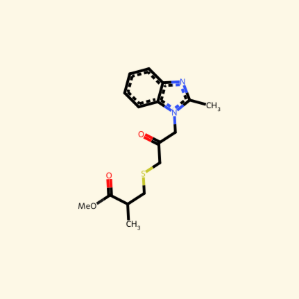 COC(=O)C(C)CSCC(=O)Cn1c(C)nc2ccccc21